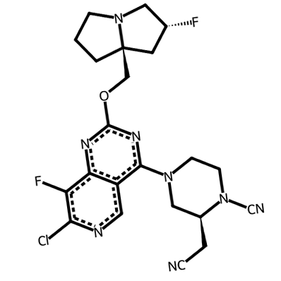 N#CC[C@H]1CN(c2nc(OC[C@@]34CCCN3C[C@H](F)C4)nc3c(F)c(Cl)ncc23)CCN1C#N